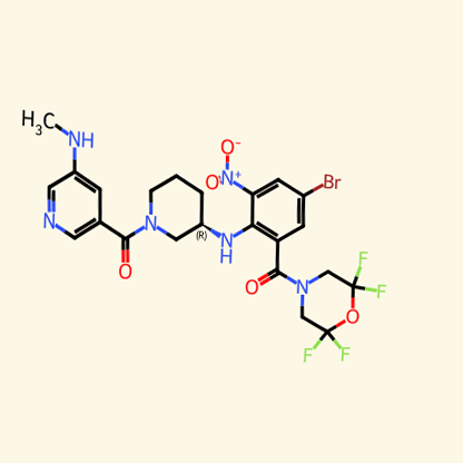 CNc1cncc(C(=O)N2CCC[C@@H](Nc3c(C(=O)N4CC(F)(F)OC(F)(F)C4)cc(Br)cc3[N+](=O)[O-])C2)c1